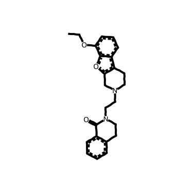 CCOc1cccc2c3c(oc12)CN(CCN1CCc2ccccc2C1=O)CC3